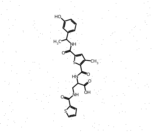 Cc1cc(C(=O)NC(C)c2cccc(O)c2)sc1C(=O)NC(CNC(=O)c1cccs1)C(=O)O